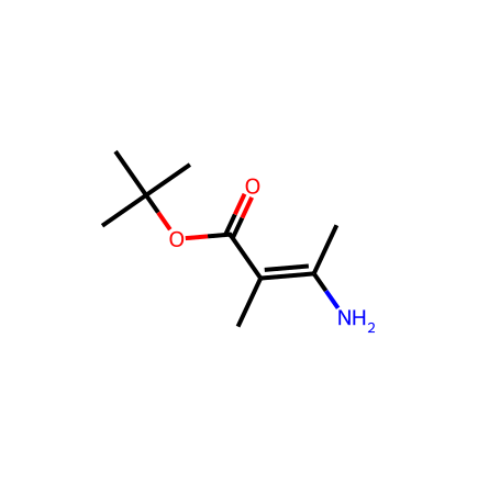 CC(N)=C(C)C(=O)OC(C)(C)C